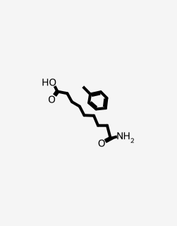 Cc1ccccc1.NC(=O)CCCCCCCC(=O)O